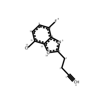 C#CCCc1nc2c(F)ccc(Cl)c2o1